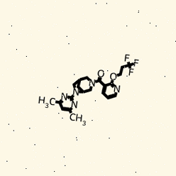 Cc1cc(C)nc(N2CC3CC2CN(C(=O)c2cccnc2OCCC(F)(F)F)C3)n1